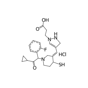 Cl.O=C(O)CCN1C=C(/C=C2\CN(C(C(=O)C3CC3)c3ccccc3F)CCC2S)CN1